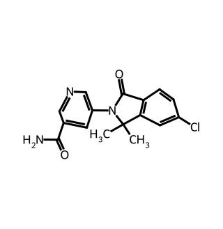 CC1(C)c2cc(Cl)ccc2C(=O)N1c1cncc(C(N)=O)c1